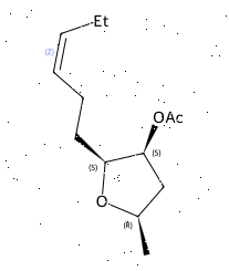 CC/C=C\CC[C@@H]1O[C@H](C)C[C@@H]1OC(C)=O